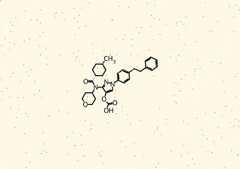 C[C@H]1CC[C@H](C(=O)N(c2nn(-c3ccc(CCc4ccccc4)cc3)cc2OC(=O)O)C2CCOCC2)CC1